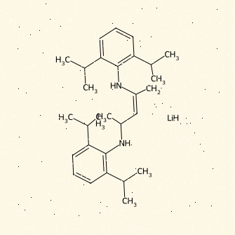 [CH2]C(=CC(C)Nc1c(C(C)C)cccc1C(C)C)Nc1c(C(C)C)cccc1C(C)C.[LiH]